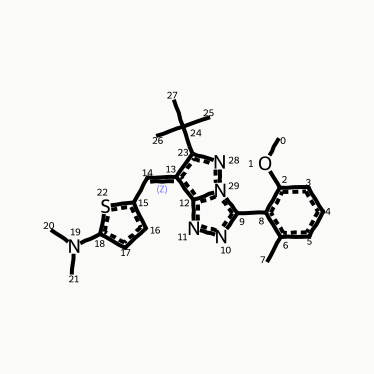 COc1cccc(C)c1-c1nnc2/c(=C\c3ccc(N(C)C)s3)c(C(C)(C)C)nn12